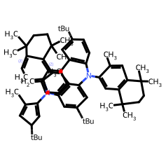 C=C(/C=C1\C(=C/C)C(C)(C)CCC1(C)C)N(C1=CC(C(C)(C)C)C=C1C)c1cc(C(C)(C)C)cc(N(c2cc3c(cc2C)C(C)(C)CCC3(C)C)c2ccc(C(C)(C)C)cc2-c2ccccc2)c1C